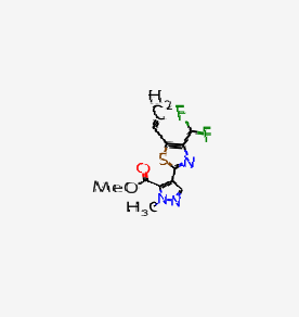 C=Cc1sc(-c2cnn(C)c2C(=O)OC)nc1C(F)F